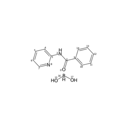 O=C(Nc1ccccn1)c1ccccc1.OBO